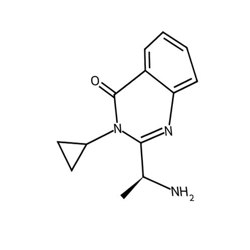 C[C@H](N)c1nc2ccccc2c(=O)n1C1CC1